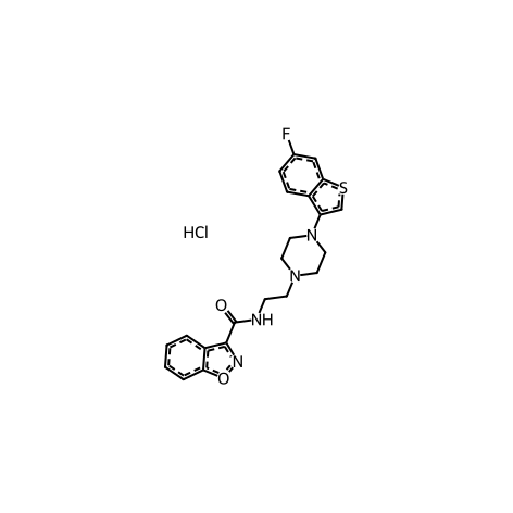 Cl.O=C(NCCN1CCN(c2csc3cc(F)ccc23)CC1)c1noc2ccccc12